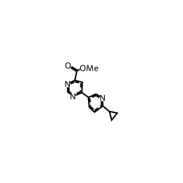 COC(=O)c1cc(-c2ccc(C3CC3)nc2)ncn1